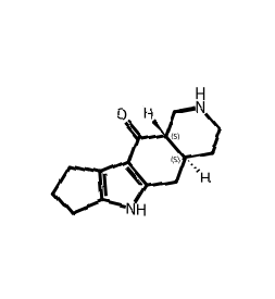 O=C1c2c([nH]c3c2CCC3)C[C@@H]2CCNC[C@@H]12